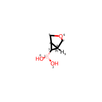 OB(O)C1C2COC[C@@H]21